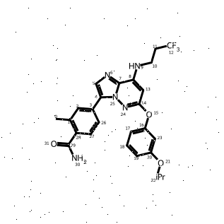 Cc1cc(-c2cnc3c(NCCC(F)(F)F)cc(Oc4cccc(OC(C)C)c4)nn23)ccc1C(N)=O